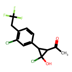 CC(=O)C1C(c2ccc(CC(F)(F)F)c(Cl)c2)C1(O)Cl